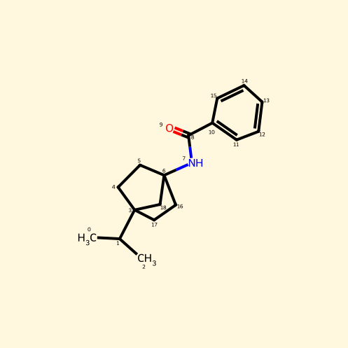 CC(C)C12CCC(NC(=O)c3ccccc3)(CC1)C2